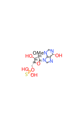 CO[C@@H]1[C@H](O)[C@@H](COP(O)(O)=S)O[C@H]1n1cnc2c(O)ncnc21